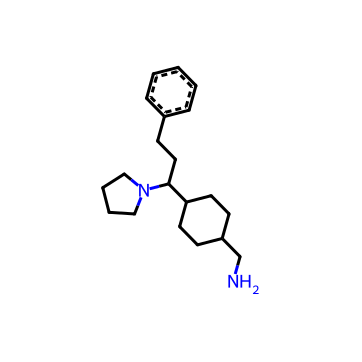 NCC1CCC(C(CCc2ccccc2)N2CCCC2)CC1